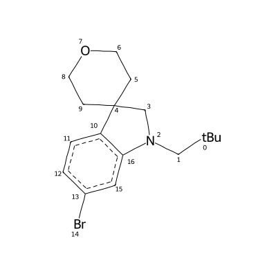 CC(C)(C)CN1CC2(CCOCC2)c2ccc(Br)cc21